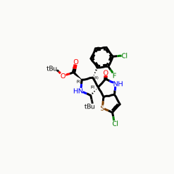 CC(C)(C)OC(=O)[C@@H]1NC(C(C)(C)C)[C@@]2(C(=O)NC3C=C(Cl)SC32)[C@H]1c1cccc(Cl)c1F